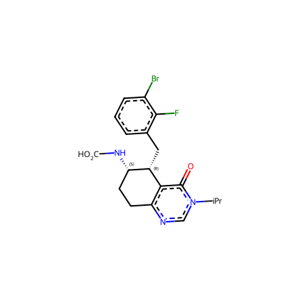 CC(C)n1cnc2c(c1=O)[C@@H](Cc1cccc(Br)c1F)[C@@H](NC(=O)O)CC2